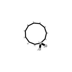 O=S1(=O)CCCCCCCCCC1